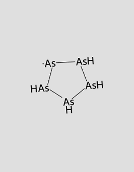 [As]1[AsH][AsH][AsH][AsH]1